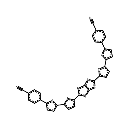 N#Cc1ccc(-c2ccc(-c3ccc(-c4nc5sc(-c6ccc(-c7ccc(-c8ccc(C#N)cc8)s7)s6)nc5s4)s3)s2)cc1